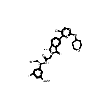 COc1cc(F)cc([C@@H](CO)NC(=O)CN2C(=O)c3cc(-c4nc(NC5CCOCC5)ncc4Cl)ccc3[C@H]2C)c1